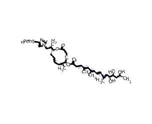 CCCCCc1cn(C[C@H](C)[C@H]2C/C=C/C[C@H](C)[C@@H](OC(=O)/C=C/C(C)=C/C(C)=C/C=C/C(C)=C/[C@H](O)[C@@H](O)C[C@H](C)O)CCCC(=O)O2)nn1